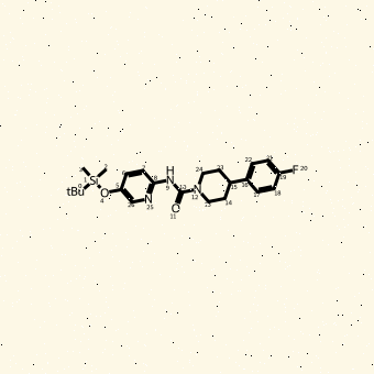 CC(C)(C)[Si](C)(C)Oc1ccc(NC(=O)N2CCC(c3ccc(F)cc3)CC2)nc1